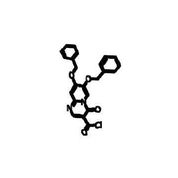 O=C(Cl)c1cnc2cc(OCc3ccccc3)c(OCc3ccccc3)cn2c1=O